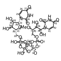 CO[C@H](COP(=O)(O)OP(=O)(O)OP(=O)(O)OP(=O)(O)OC[C@H]1O[C@@H](n2ccc(=O)[nH]c2=O)[C@H](O)[C@@H]1O)[C@@H](O)[C@@H](O)n1ccc(=O)[nH]c1=O